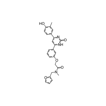 Cc1cc(-c2cc(-c3cccc(OCC(=O)N(C)Cc4ccco4)c3)[nH]c(=O)n2)ccc1O